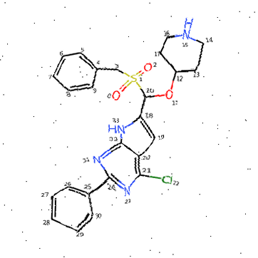 O=S(=O)(Cc1ccccc1)C(OC1CCNCC1)c1cc2c(Cl)nc(-c3ccccc3)nc2[nH]1